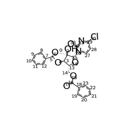 C[C@@]1(O)[C@H](OC(=O)c2ccccc2)[C@@H](COC(=O)c2ccccc2)O[C@H]1n1ccc(Cl)nc1=O